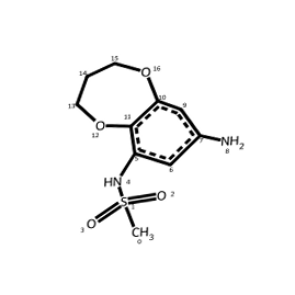 CS(=O)(=O)Nc1cc(N)cc2c1OCCCO2